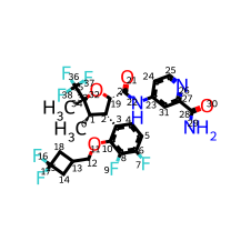 C[C@@H]1[C@@H](c2ccc(F)c(F)c2OCC2CC(F)(F)C2)[C@@H](C(=O)Nc2ccnc(C(N)=O)c2)O[C@@]1(C)C(F)(F)F